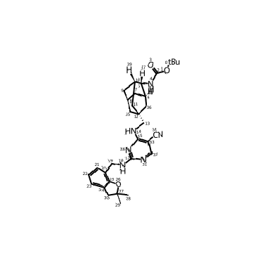 CC(C)(C)OC(=O)N[C@@H]1[C@@H]2CC3C[C@H]1C[C@](CNc1nc(NCc4cccc5c4OC(C)(C)C5)ncc1C#N)(C3)C2